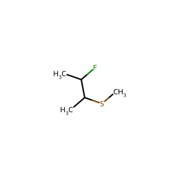 CSC(C)C(C)F